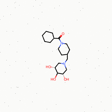 O=C(C1CCCCC1)N1CCC(CN2C[C@@H](O)C(O)[C@@H](O)C2)CC1